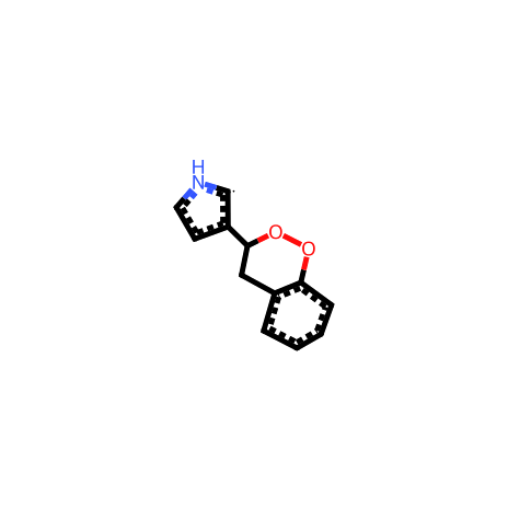 [c]1[nH]ccc1C1Cc2ccccc2OO1